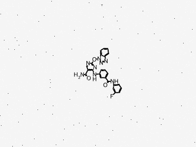 NC(=O)c1cnc(On2nnc3ccccc32)nc1Nc1cccc(C(=O)Nc2cccc(F)c2)c1